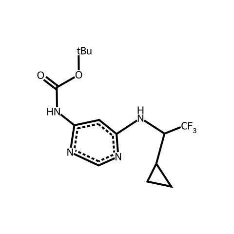 CC(C)(C)OC(=O)Nc1cc(NC(C2CC2)C(F)(F)F)ncn1